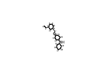 C=Cc1cccc(COc2ccc(Nc3ccccc3)cc2)c1